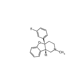 CN1CC[C@@]2(c3cccc(F)c3)Oc3ccccc3[C@H]2C1